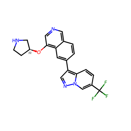 FC(F)(F)c1ccc2c(-c3ccc4cncc(O[C@H]5CCNC5)c4c3)cnn2c1